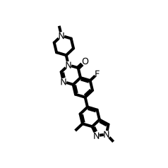 Cc1cc(-c2cc(F)c3c(=O)n(C4CCN(C)CC4)cnc3c2)cc2cn(C)nc12